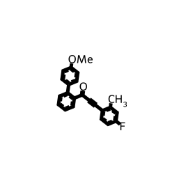 COc1ccc(-c2ccccc2C(=O)C#Cc2ccc(F)cc2C)cc1